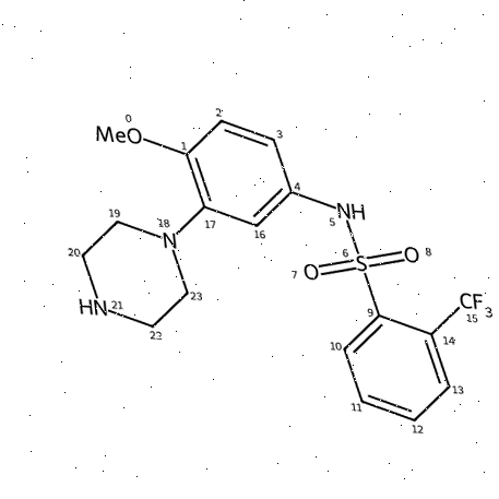 COc1ccc(NS(=O)(=O)c2ccccc2C(F)(F)F)cc1N1CCNCC1